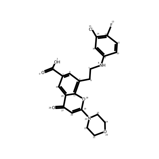 O=C(O)c1cc(CCNc2ccc(F)c(Cl)c2)c2oc(N3CCOCC3)cc(=O)c2c1